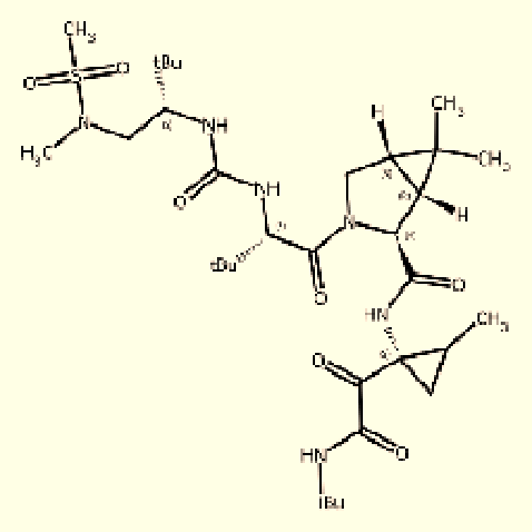 CCC(C)NC(=O)C(=O)[C@]1(NC(=O)[C@@H]2[C@@H]3[C@H](CN2C(=O)[C@@H](NC(=O)N[C@H](CN(C)S(C)(=O)=O)C(C)(C)C)C(C)(C)C)C3(C)C)CC1C